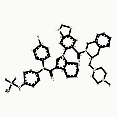 CN1CCN(C[C@@H]2Cc3ccccc3CN2C(=O)c2cc3c(cc2-n2cc(C(=O)N(c4ccc(Cl)cc4)c4ccc(O[Si](C)(C)C(C)(C)C)cc4)c4ccccc42)OCO3)CC1